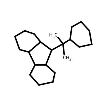 CC(C)(C1CCCCC1)C1C2CCCCC2C2CCCCC21